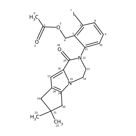 CC(=O)OCc1c(I)cccc1N1CCn2c(cc3c2CC(C)(C)C3)C1=O